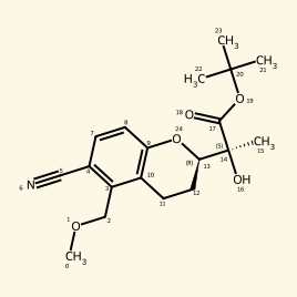 COCc1c(C#N)ccc2c1CC[C@H]([C@](C)(O)C(=O)OC(C)(C)C)O2